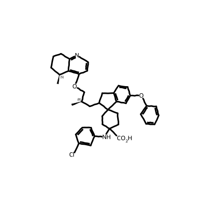 C[C@@H](COc1ccnc2c1[C@@H](C)CCC2)CC1Cc2ccc(Oc3ccccc3)cc2C12CCC(Nc1cccc(Cl)c1)(C(=O)O)CC2